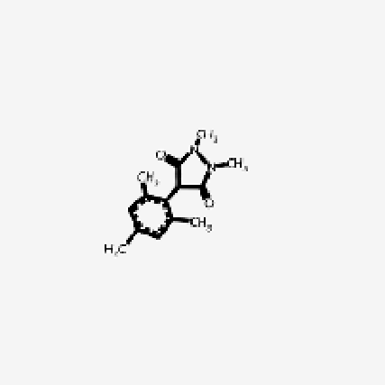 Cc1cc(C)c(C2C(=O)N(C)N(C)C2=O)c(C)c1